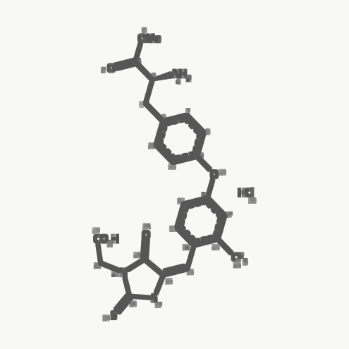 COC(=O)[C@@H](N)Cc1ccc(Oc2ccc(C=C3SC(=S)N(CC(=O)O)C3=O)c(C(F)(F)F)c2)cc1.Cl